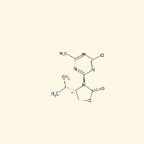 Cc1nc(Cl)nc(N2C(=O)OC[C@@H]2C(C)C)n1